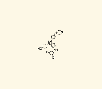 CN1CCN(Cc2ccc(-c3nn([C@H]4CC[C@H](O)CC4)c4nc(Nc5cc(F)cc(Cl)c5)ncc34)cc2)CC1